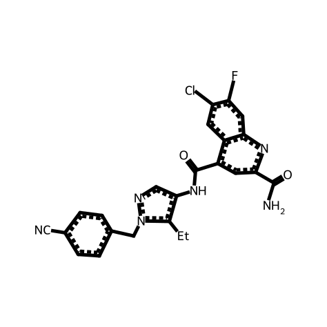 CCc1c(NC(=O)c2cc(C(N)=O)nc3cc(F)c(Cl)cc23)cnn1Cc1ccc(C#N)cc1